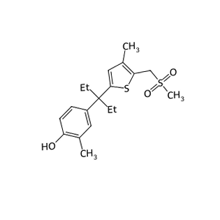 CCC(CC)(c1ccc(O)c(C)c1)c1cc(C)c(CS(C)(=O)=O)s1